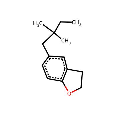 CCC(C)(C)Cc1ccc2c(c1)CCO2